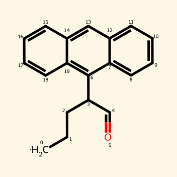 [CH2]CCC(C=O)c1c2ccccc2cc2ccccc12